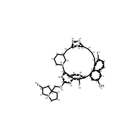 Oc1cc2c3c(c(F)ccc3c1)CCCc1nc(no1)CC1CCCN(C1)c1nc(OCC34CCCN3CC(F)C4)nc3c(F)c-2ncc13